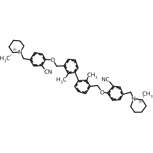 Cc1c(COc2ccc(CN3CCCC[C@H]3C)cc2C#N)cccc1-c1cccc(COc2ccc(CN3CCCC[C@H]3C)cc2C#N)c1C